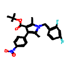 Cc1c(C(=O)OC(C)(C)C)c(-c2ccc([N+](=O)[O-])cc2)c(C)n1Cc1ccc(F)cc1F